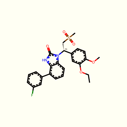 CCOc1cc([C@@H](CS(C)(=O)=O)n2c(=O)[nH]c3c(-c4cccc(F)c4)cccc32)ccc1OC